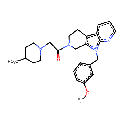 O=C(O)C1CCN(CC(=O)N2CCc3c(n(Cc4cccc(OC(F)(F)F)c4)c4ncccc34)C2)CC1